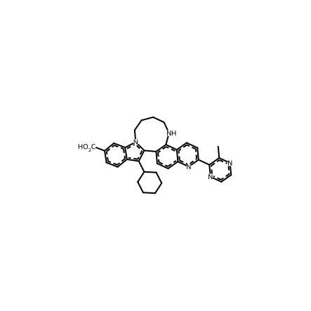 Cc1nccnc1-c1ccc2c3c(ccc2n1)-c1c(C2CCCCC2)c2ccc(C(=O)O)cc2n1CCCCN3